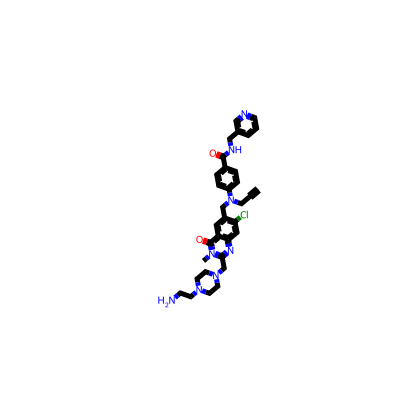 C#CCN(Cc1cc2c(=O)n(C)c(CN3CCN(CCN)CC3)nc2cc1Cl)c1ccc(C(=O)NCc2cccnc2)cc1